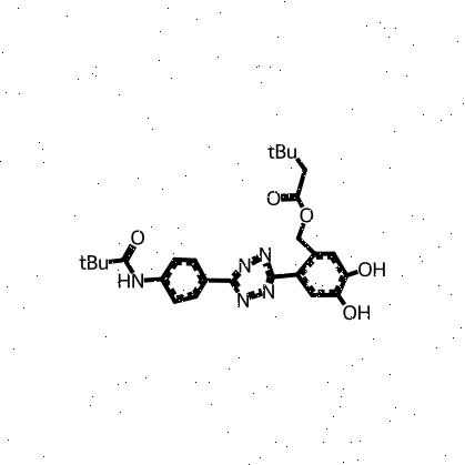 CC(C)(C)CC(=O)OCc1cc(O)c(O)cc1-c1nnc(-c2ccc(NC(=O)C(C)(C)C)cc2)nn1